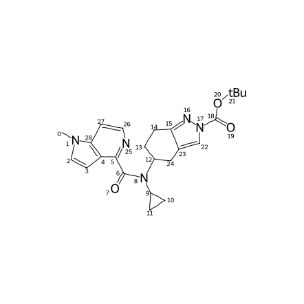 Cn1ccc2c(C(=O)N(C3CC3)C3CCc4nn(C(=O)OC(C)(C)C)cc4C3)nccc21